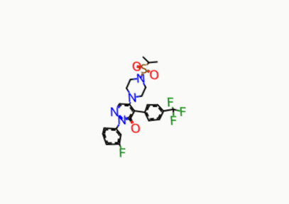 CC(C)S(=O)(=O)N1CCN(c2cnn(-c3cccc(F)c3)c(=O)c2-c2ccc(C(F)(F)F)cc2)CC1